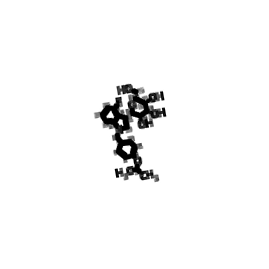 CC(C)Oc1ccc(Cn2cc([C@@H]3O[C@H](CO)[C@@H](O)[C@H](O)[C@H]3O)c3c(F)cccc32)cc1